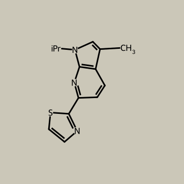 Cc1cn(C(C)C)c2nc(-c3nccs3)ccc12